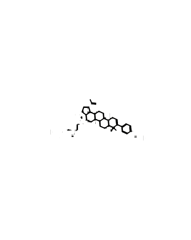 C=C(C)[C@@H]1CC[C@]2(C(=O)NCCN(CC)CC(=O)O)CC[C@]3(C)[C@H](CC[C@@H]4[C@@]5(C)CC=C(c6ccc(OC=O)cc6)C(C)(C)[C@@H]5CC[C@]43C)[C@@H]12